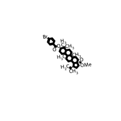 C=C(C)[C@@H]1CC[C@]2(C(=O)OC)CCC3C(CCC4[C@@]3(C)CCC3C(C)(C)[C@@H](OC(=O)c5ccc(Br)cc5)CC[C@@]34C)C12